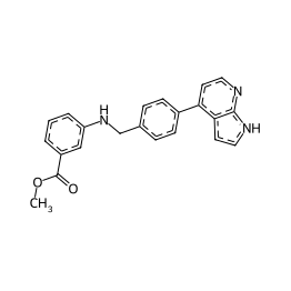 COC(=O)c1cccc(NCc2ccc(-c3ccnc4[nH]ccc34)cc2)c1